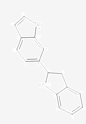 c1ccc2c(c1)CC(c1ccc3cc[nH]c3c1)N2